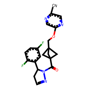 N#Cc1cnc(OCC23CC(C(=O)N4N=CCC4c4cc(F)ccc4F)(C2)C3)cn1